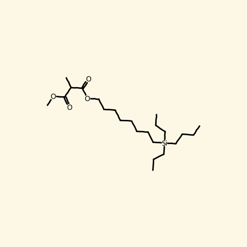 CCCC[Si](CCC)(CCC)CCCCCCCCOC(=O)C(C)C(=O)OC